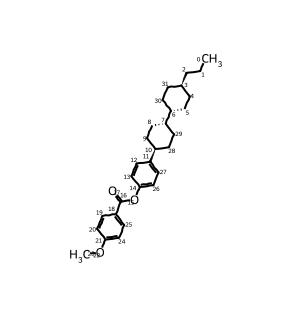 CCC[C@H]1CC[C@H]([C@H]2CC[C@H](c3ccc(OC(=O)c4ccc(OC)cc4)cc3)CC2)CC1